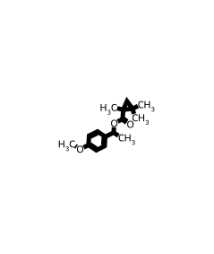 COc1ccc(C(C)OC(=O)C2(C)CC2(C)C)cc1